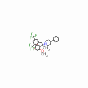 [CH2]C(Cc1cc(C(F)(F)F)cc(C(F)(F)F)c1)(c1ccccc1OC)N1CCC(c2ccccc2)CC1